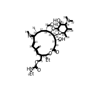 CCNC(=O)OCC1/C=C(C)/C=C/C(=NC)[C@H](C)C[C@H](CC=O)[C@H](OC2OC(C)C(C)C(N(C)C)C2O)[C@@H](C)[C@H](O)CC(=O)O[C@@H]1CC